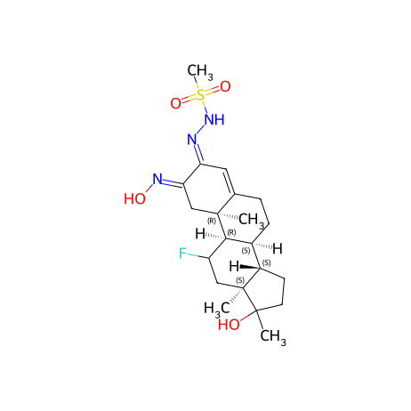 CC1(O)CC[C@H]2[C@@H]3CCC4=CC(=NNS(C)(=O)=O)C(=NO)C[C@]4(C)[C@@H]3C(F)C[C@@]21C